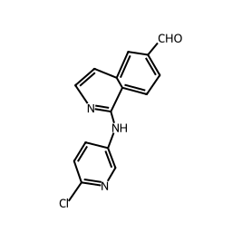 O=Cc1ccc2c(Nc3ccc(Cl)nc3)nccc2c1